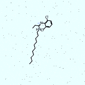 CCCCCCCCCCCN/C(CC)=N\c1c(Cl)cccc1Cl